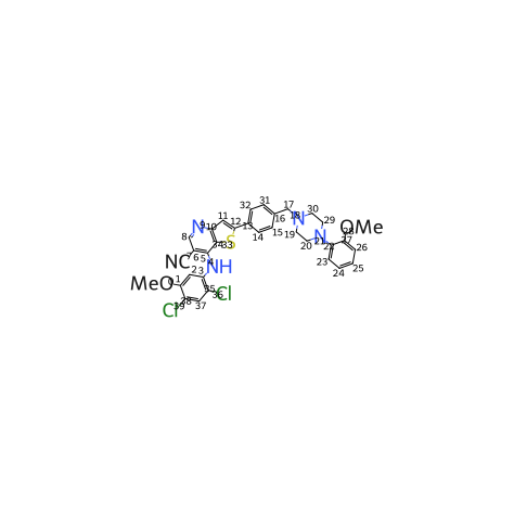 COc1cc(Nc2c(C#N)cnc3cc(-c4ccc(CN5CCN(c6ccccc6OC)CC5)cc4)sc23)c(Cl)cc1Cl